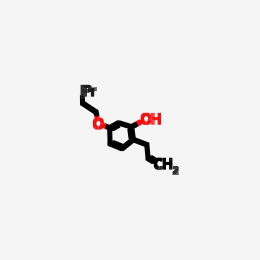 C=CCc1ccc(OCCC(C)C)cc1O